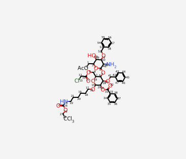 CC(=O)OCC1OC(OC2C(COC(=O)CCl)OC(OCCCCCCNC(=O)OCC(Cl)(Cl)Cl)C(OC(=O)c3ccccc3)C2OCc2ccccc2)C(N)C(OCc2ccccc2)C1O